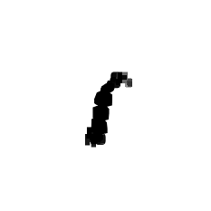 COCC=CC1CCC(c2ccc(-c3ccc(C(=O)C(F)(F)F)cc3)cc2)CC1